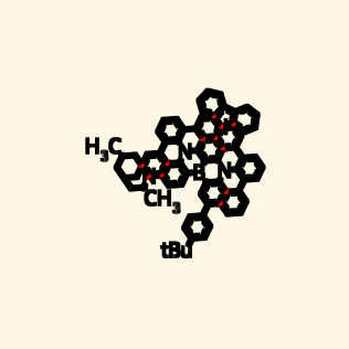 CC1CC2CC(C)N(c3ccc4c(c3)N(c3c(-c5ccccc5)cccc3-c3ccccc3)c3cc(-n5c6ccccc6c6ccccc65)cc5c3B4c3cc(-c4ccc(C(C)(C)C)cc4)ccc3N5c3c(-c4ccccc4)cccc3-c3ccccc3)C(C1)C2